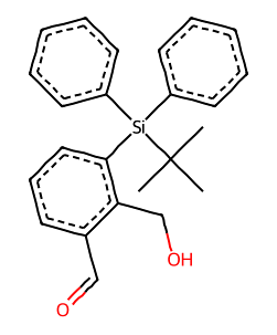 CC(C)(C)[Si](c1ccccc1)(c1ccccc1)c1cccc(C=O)c1CO